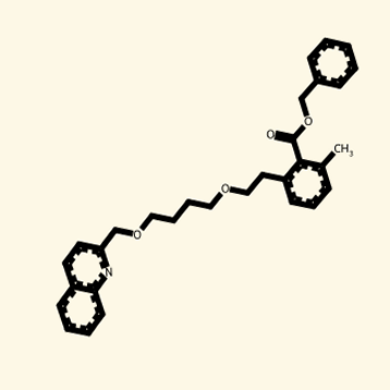 Cc1cccc(CCOCCCCOCc2ccc3ccccc3n2)c1C(=O)OCc1ccccc1